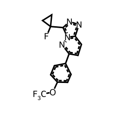 FC(F)(F)Oc1ccc(-c2ccc3nnc(C4(F)CC4)n3n2)cc1